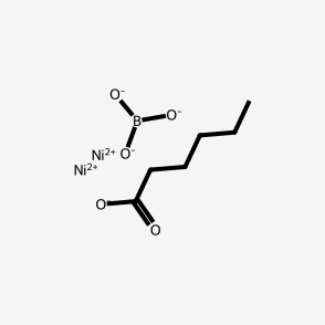 CCCCCC(=O)[O-].[Ni+2].[Ni+2].[O-]B([O-])[O-]